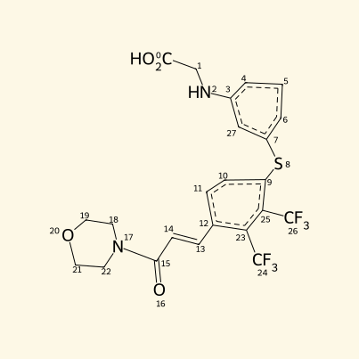 O=C(O)CNc1cccc(Sc2ccc(C=CC(=O)N3CCOCC3)c(C(F)(F)F)c2C(F)(F)F)c1